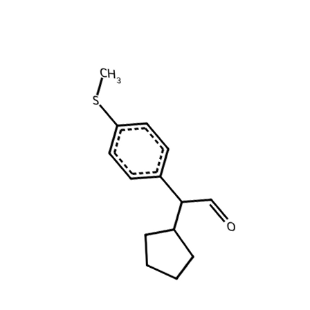 CSc1ccc(C(C=O)C2CCCC2)cc1